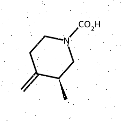 C=C1CCN(C(=O)O)C[C@H]1C